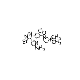 CCc1ncnc(-c2ccc(C(=O)N3CCCC(N(C)C)C3)c(Cl)c2)c1-c1ccc(N)nc1